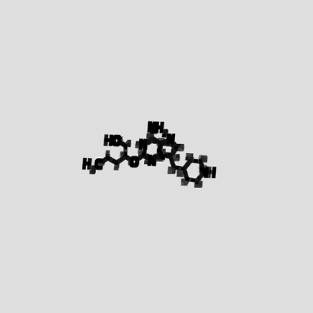 CCCC(CO)Oc1nc(N)c2ncc(CC3CCNCC3)n2n1